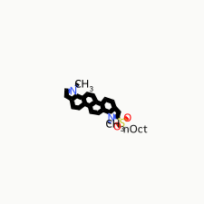 CCCCCCCCS(=O)(=O)c1cc2ccc3c4ccc5c(ccc6ccn(C)c65)c4ccc3c2n1C